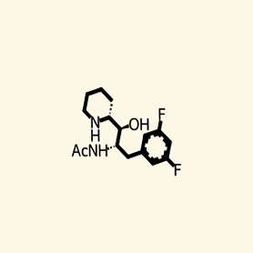 CC(=O)N[C@@H](Cc1cc(F)cc(F)c1)[C@H](O)[C@H]1CCCCN1